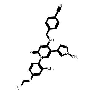 CCOc1ccc(-n2cc(-c3cnn(C)c3)c(NCc3ccc(C#N)cc3)cc2=O)c(C)c1